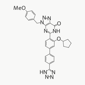 COc1ccc(Cn2nnc3c(=O)[nH]c(-c4ccc(-c5ccc(-c6nnn[nH]6)cc5)cc4OC4CCCC4)nc32)cc1